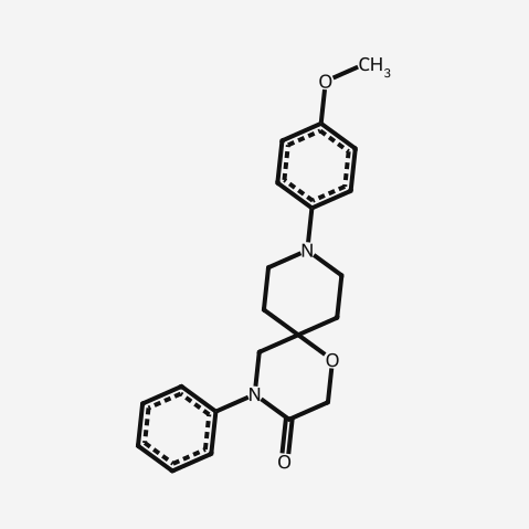 COc1ccc(N2CCC3(CC2)CN(c2ccccc2)C(=O)CO3)cc1